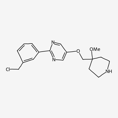 COC1(COc2cnc(-c3cccc(CCl)c3)nc2)CCNCC1